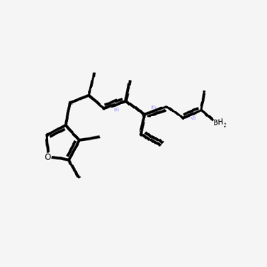 B/C(C)=C/C=C(C=C)/C(C)=C/C(C)Cc1coc(C)c1C